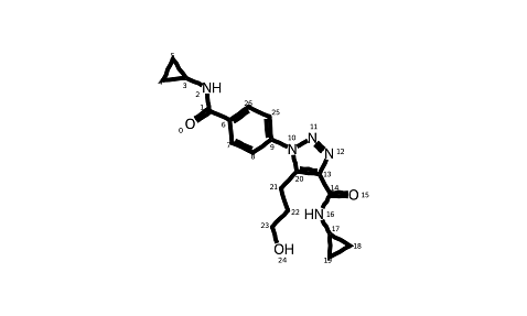 O=C(NC1CC1)c1ccc(-n2nnc(C(=O)NC3CC3)c2CCCO)cc1